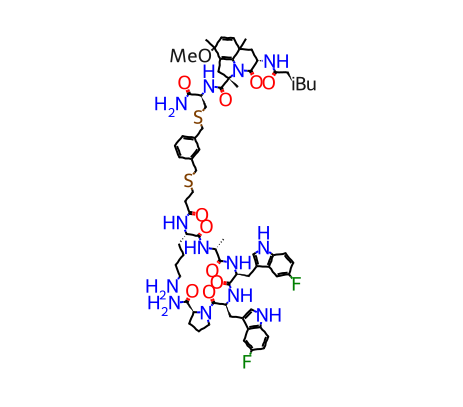 CC[C@H](C)CC(=O)N[C@H]1CC2(C)C=CC(C)(OC)C3=C2N(C1=O)[C@](C)(C(=O)N[C@@H](CSCc1cccc(CSCCC(=O)N[C@@H](CCCCN)C(=O)N[C@H](C)C(=O)N[C@@H](Cc2c[nH]c4ccc(F)cc24)C(=O)N[C@@H](Cc2c[nH]c4ccc(F)cc24)C(=O)N2CCC[C@H]2C(N)=O)c1)C(N)=O)C3